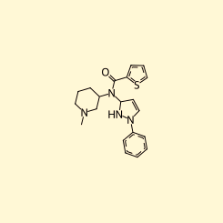 CN1CCCC(N(C(=O)c2cccs2)C2C=CN(c3ccccc3)N2)C1